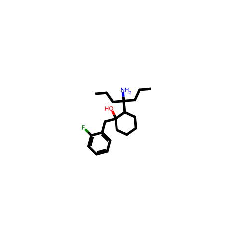 CCCC(N)(CCC)C1CCCCC1(O)Cc1ccccc1F